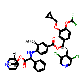 COc1cc(C(=O)O[C@@H](Cc2c(Cl)cncc2Cl)c2ccc(OC(F)F)c(OCC3CC3)c2)ccc1NC(C(=O)O[C@H]1CN2CCC1CC2)c1ccccc1